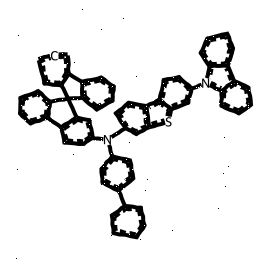 c1ccc(-c2ccc(N(c3ccc4c(c3)C3(c5ccccc5-c5ccccc53)c3ccccc3-4)c3ccc4c(c3)sc3cc(-n5c6ccccc6c6ccccc65)ccc34)cc2)cc1